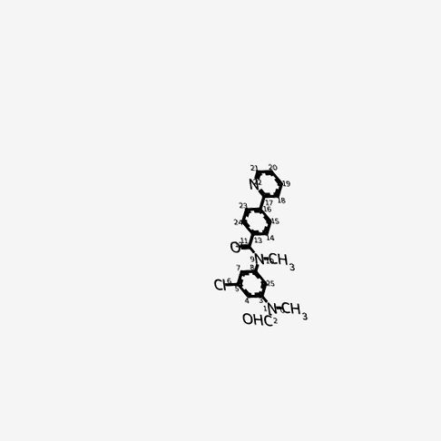 CN(C=O)c1cc(Cl)cc(N(C)C(=O)c2ccc(-c3ccccn3)cc2)c1